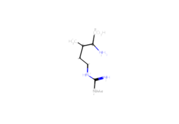 CNC(=N)NCCC(C)C(N)C(=O)O